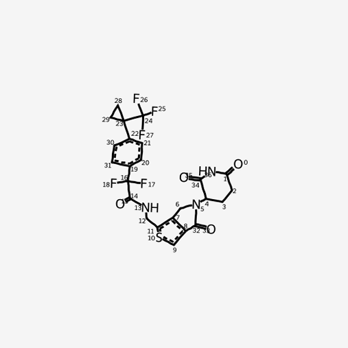 O=C1CCC(N2Cc3c(csc3CNC(=O)C(F)(F)c3ccc(C4(C(F)(F)F)CC4)cc3)C2=O)C(=O)N1